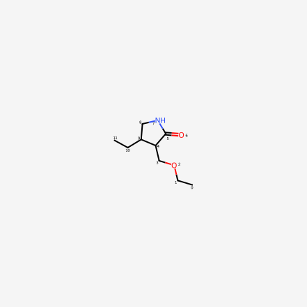 CCOCC1C(=O)NCC1CC